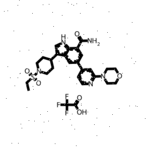 CCS(=O)(=O)N1CCC(c2c[nH]c3c(C(N)=O)cc(-c4ccnc(N5CCOCC5)c4)cc23)CC1.O=C(O)C(F)(F)F